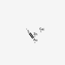 [Ge].[S]=[Au].[Zn]